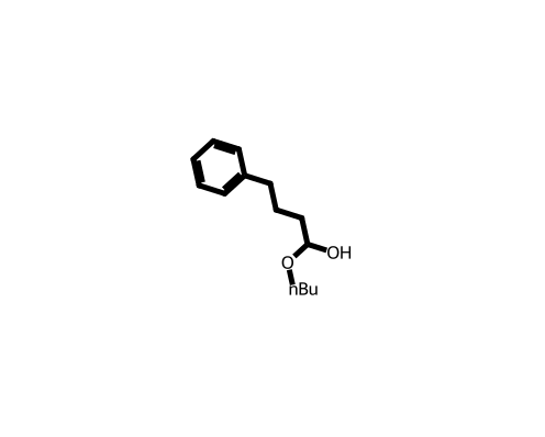 CCCCOC(O)CCCc1ccccc1